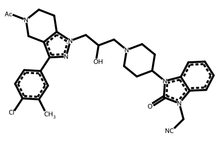 CC(=O)N1CCc2c(c(-c3ccc(Cl)c(C)c3)nn2CC(O)CN2CCC(n3c(=O)n(CC#N)c4ccccc43)CC2)C1